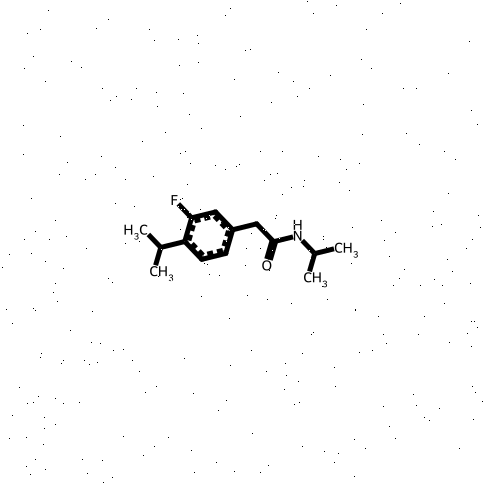 CC(C)NC(=O)Cc1ccc(C(C)C)c(F)c1